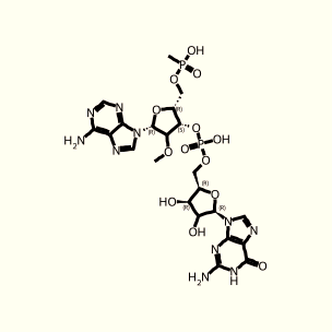 COC1[C@@H](OP(=O)(O)OC[C@H]2O[C@@H](n3cnc4c(=O)[nH]c(N)nc43)C(O)[C@H]2O)[C@@H](COP(C)(=O)O)O[C@H]1n1cnc2c(N)ncnc21